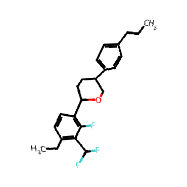 CCCc1ccc(C2CCC(c3ccc(CC)c(C(F)F)c3F)OC2)cc1